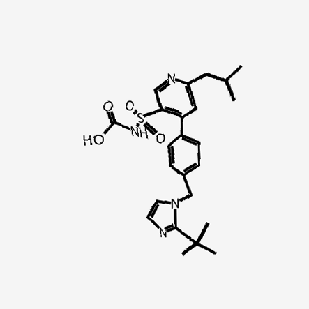 CC(C)Cc1cc(-c2ccc(Cn3ccnc3C(C)(C)C)cc2)c(S(=O)(=O)NC(=O)O)cn1